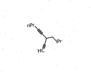 C#CC(C#CCCC)C[C](C)C